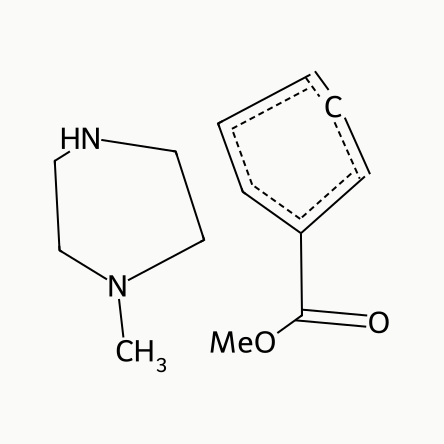 CN1CCNCC1.COC(=O)c1ccccc1